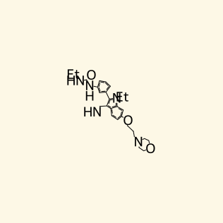 CCNC(=O)Nc1cccc(-c2c(C=N)c3ccc(OCCCN4CCOCC4)cc3n2CC)c1